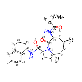 CC[C@H]1CC[C@H]2CC[C@@H](C(=O)N[C@@H]3CCCc4ccccc43)N2C(=O)[C@@H](NC(=O)[C@H](C)NC)C1